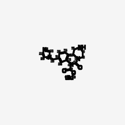 CC(C)(C)OC(=O)N(C(=O)N1CCNCC1)c1cccc(Cn2ccnc2)c1